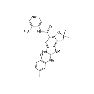 Cc1ccc(Cl)c(NC2Nc3cc(C(=O)Nc4ccccc4C(F)(F)F)c4c(c3N2)CC(C)(C)O4)c1